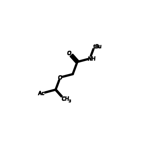 CC(=O)C(C)OCC(=O)NC(C)(C)C